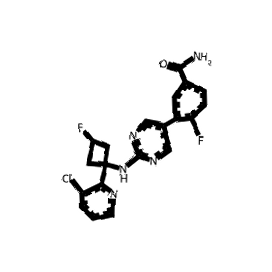 NC(=O)c1ccc(F)c(-c2cnc(NC3(c4ncccc4Cl)CC(F)C3)nc2)c1